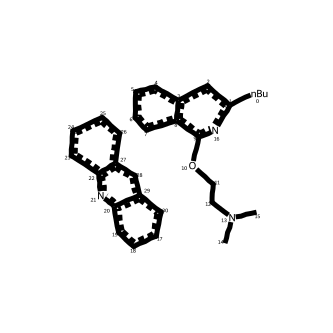 CCCCc1cc2ccccc2c(OCCN(C)C)n1.c1ccc2nc3ccccc3cc2c1